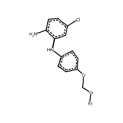 CCOCOc1ccc(Nc2cc(Cl)ccc2N)cc1